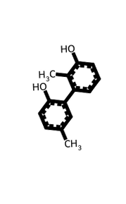 Cc1ccc(O)c(-c2cccc(O)c2C)c1